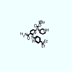 CCN(CC)c1ccc(Nc2nc(N(C(=O)OC(C)(C)C)[C@@H]3CCCNC3)ccc2C(N)=O)cc1